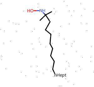 CCCCCCCCCCCCCCCC(C)(C)NO